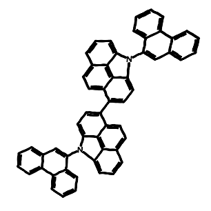 c1ccc2c(c1)cc(-n1c3cccc4ccc5c(-c6ccc7c8c6ccc6cccc(c68)n7-c6cc7ccccc7c7ccccc67)ccc1c5c43)c1ccccc12